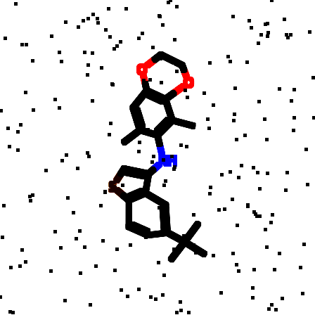 Cc1cc2c(c(C)c1Nc1csc3ccc(C(C)(C)C)cc13)OCCO2